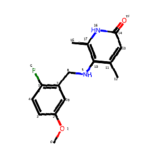 COc1ccc(F)c(CNc2c(C)[c]c(=O)[nH]c2C)c1